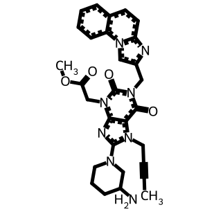 CC#CCn1c(N2CCCC(N)C2)nc2c1c(=O)n(Cc1cn3c(ccc4ccccc43)n1)c(=O)n2CC(=O)OC